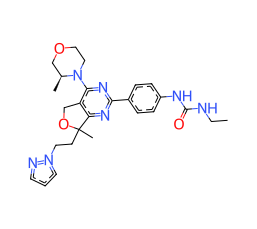 CCNC(=O)Nc1ccc(-c2nc(N3CCOC[C@@H]3C)c3c(n2)C(C)(CCn2cccn2)OC3)cc1